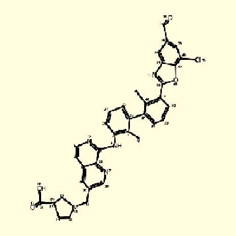 Cc1c(Nc2nccc3cc(CN4CC[C@@H](C(=O)O)C4)cnc23)cccc1-c1cccc(-c2nc3cc(C=O)cc(Cl)c3o2)c1C